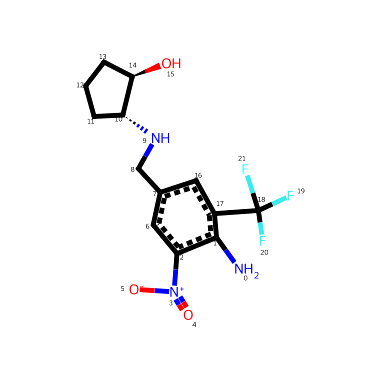 Nc1c([N+](=O)[O-])cc(CN[C@@H]2CCC[C@H]2O)cc1C(F)(F)F